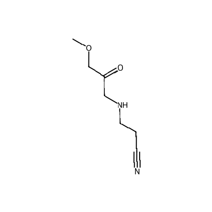 COCC(=O)CNCCC#N